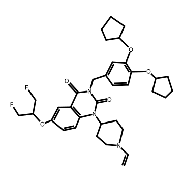 C=CN1CCC(n2c(=O)n(Cc3ccc(OC4CCCC4)c(OC4CCCC4)c3)c(=O)c3cc(OC(CF)CF)ccc32)CC1